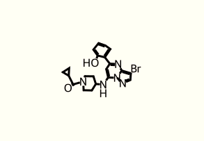 O=C(C1CC1)N1CCC(Nc2cc(-c3ccccc3O)nc3c(Br)cnn23)CC1